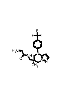 C=CC(=O)NC[C@]1(C)CN(c2ccc(C(F)(F)F)cc2)c2ccnn2C1